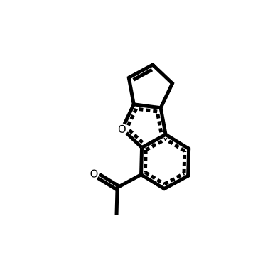 CC(=O)c1cccc2c3c(oc12)C=CC3